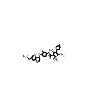 COc1cnc2c(Oc3ccc(NC(=O)c4c(C)nc(C)c(-c5ccc(F)cn5)c4O)cc3F)ccnc2c1